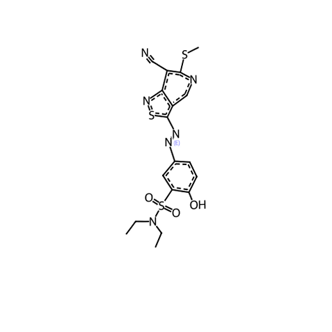 CCN(CC)S(=O)(=O)c1cc(/N=N/c2snc3c(C#N)c(SC)ncc23)ccc1O